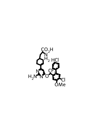 COc1cc([C@@H](Oc2cc(C3=CCC(C[C@H](N)C(=O)O)CC3)nc(N)n2)C(F)(F)F)c(-c2ccccc2)cc1Cl.Cl